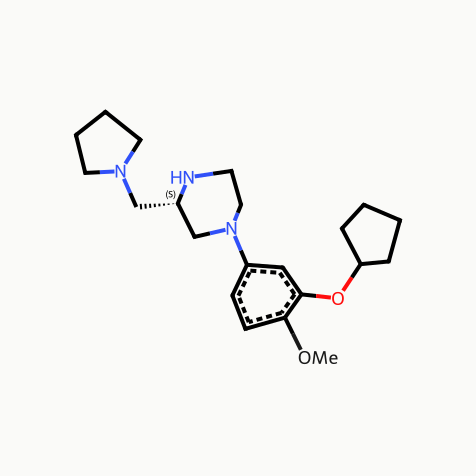 COc1ccc(N2CCN[C@@H](CN3CCCC3)C2)cc1OC1CCCC1